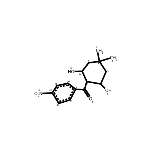 CC1(C)CC(O)C(C(=O)c2ccc([N+](=O)[O-])cc2)C(O)C1